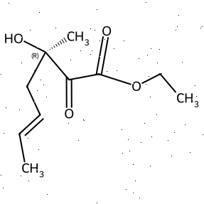 CC=CC[C@@](C)(O)C(=O)C(=O)OCC